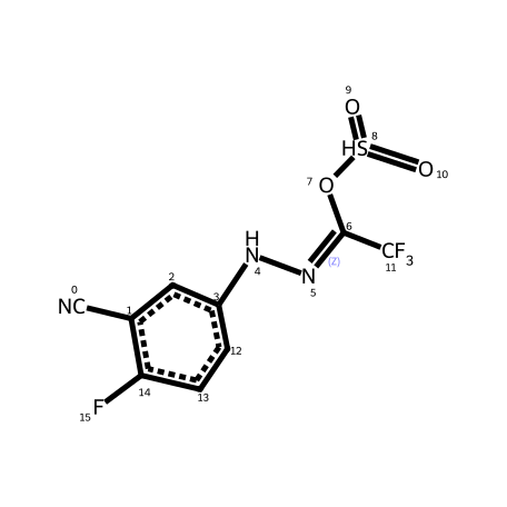 N#Cc1cc(N/N=C(\O[SH](=O)=O)C(F)(F)F)ccc1F